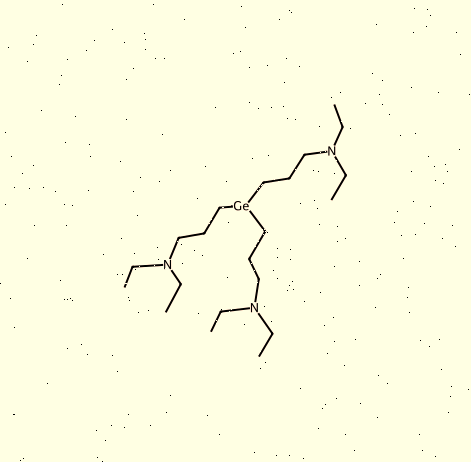 CCN(CC)CC[CH2][Ge]([CH2]CCN(CC)CC)[CH2]CCN(CC)CC